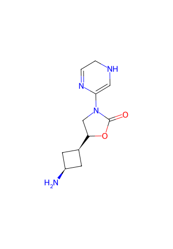 N[C@H]1C[C@@H](C2CN(C3=CNCC=N3)C(=O)O2)C1